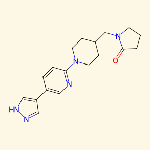 O=C1CCCN1CC1CCN(c2ccc(-c3cn[nH]c3)cn2)CC1